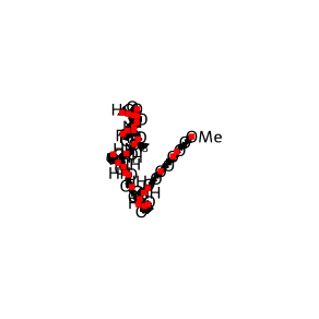 COCCOCCOCCOCCOCCOCCOCCOCCNC(=O)c1cc(N2C(=O)C=CC2=O)cc(F)c1OCCCC(=O)NCC(=O)NCC(=O)N[C@@H](Cc1ccccc1)C(=O)NCC(=O)NCO[C@H](C(=O)NCc1c2c(nc3cc(F)c(C)cc13)-c1cc3c(c(=O)n1C2)COC(=O)[C@]3(O)CC1CC1)C1CC1